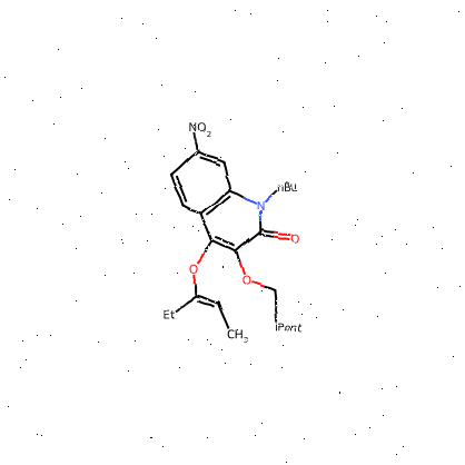 CC=C(CC)Oc1c(OCC(C)CCC)c(=O)n(CCCC)c2cc([N+](=O)[O-])ccc12